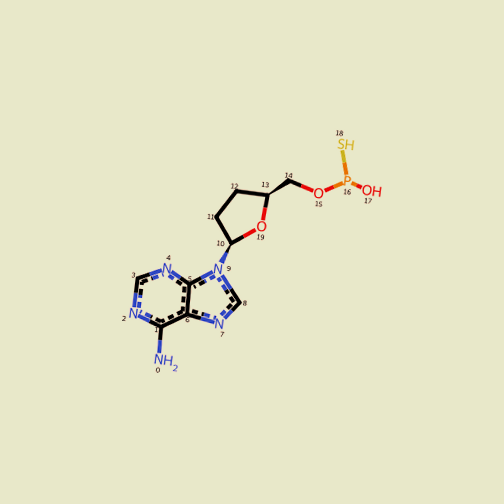 Nc1ncnc2c1ncn2[C@H]1CC[C@@H](COP(O)S)O1